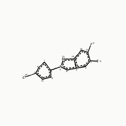 Fc1cc2cn(-c3ccc(Cl)cc3)nc2cc1F